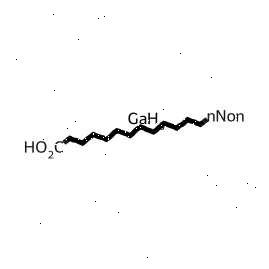 CCCCCCCCCCCCCCCCCCCCCC(=O)O.[GaH3]